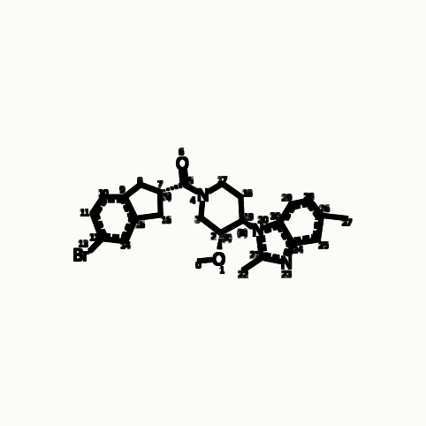 CO[C@@H]1CN(C(=O)[C@H]2Cc3ccc(Br)cc3C2)CC[C@H]1n1c(C)nc2cc(C)ccc21